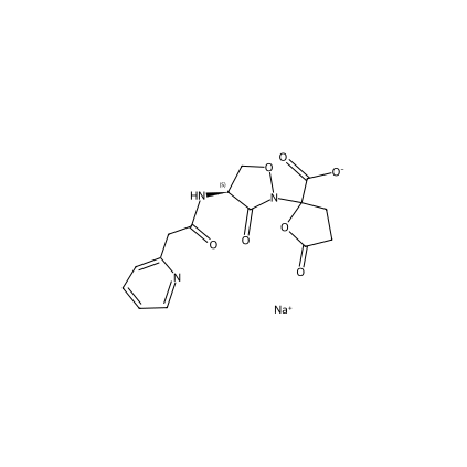 O=C(Cc1ccccn1)N[C@H]1CON(C2(C(=O)[O-])CCC(=O)O2)C1=O.[Na+]